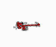 CC[C@@]1(OCN(CCS(C)(=O)=O)C(=O)OCc2ccc(O[C@@H]3O[C@H](CO)[C@H](O)[C@H](O)[C@H]3O)c(NC(=O)CCNC(=O)CCOCCOCCOCCOCCNC(=O)CCN3C(=O)CC(C)C3=O)c2)C(=O)OCc2c1cc1n(c2=O)Cc2c-1nc1cc(F)c(C)c3c1c2[C@@H](N)CC3